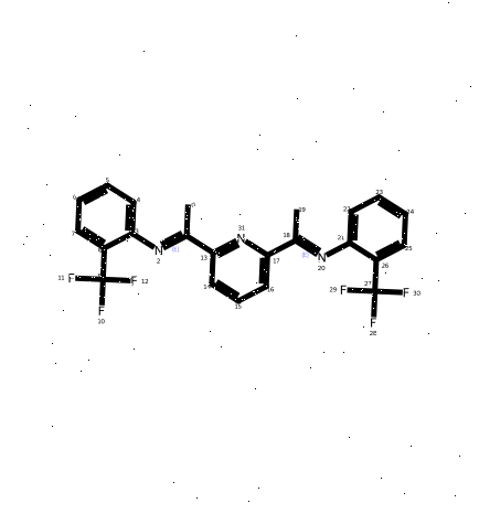 C/C(=N\c1ccccc1C(F)(F)F)c1cccc(/C(C)=N/c2ccccc2C(F)(F)F)n1